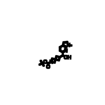 Cn1ccc2ccc(C(O)C3CC4(C3)CN(C(=O)OC(C)(C)C)C4)nc21